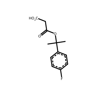 CC(C)(OC(=O)CC(=O)O)c1ccc(F)cc1